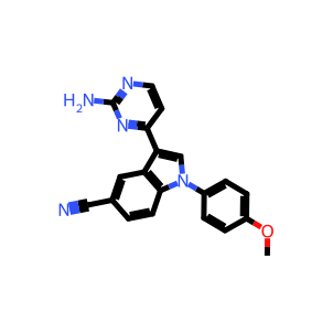 COc1ccc(-n2cc(-c3ccnc(N)n3)c3cc(C#N)ccc32)cc1